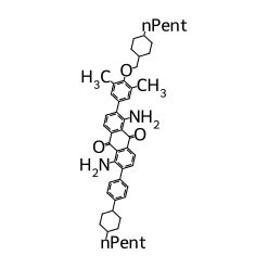 CCCCCC1CCC(COc2c(C)cc(-c3ccc4c(c3N)C(=O)c3ccc(-c5ccc(C6CCC(CCCCC)CC6)cc5)c(N)c3C4=O)cc2C)CC1